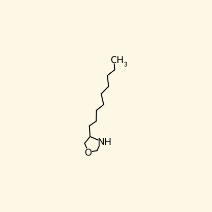 CCCCCCCCCC1COCN1